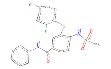 CS(=O)(=O)Nc1ccc(C(=O)Nc2ccccc2)cc1Sc1ccc(F)cc1F